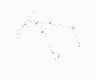 CCCCC/C=C\C/C=C\CCCCCCCC(=O)OCC(COC(=O)CCCCCCC/C=C\CCCCCCCC)OC(=O)CCC(CCCC)OC(=O)NCCN1CCCC1